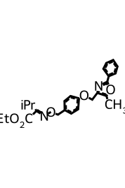 CCOC(=O)C(=NOCc1ccc(OCc2nc(-c3ccccc3)oc2C)cc1)C(C)C